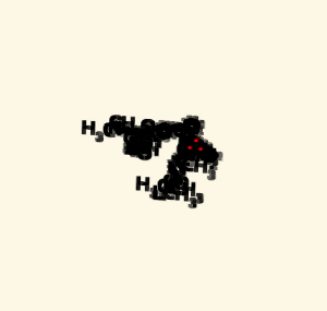 C[C@@H]1CN(C(=O)OC(C)(C)C)CCN1CCOc1cc(N2C3CCC2CN(c2cc(-c4ccccc4OCc4ccc(NC(=O)[C@H](CCCCN(C)C)NC(=O)C5(C(=O)[O-])CCC5)cc4)nnc2N)C3)ccn1.[Li+]